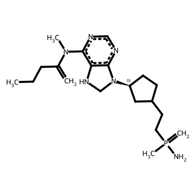 C=C(CCC)N(C)c1ncnc2c1NCN2[C@H]1CCC(CCP(=C)(C)N)C1